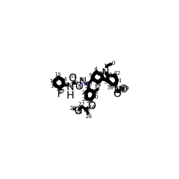 CCn1c2ccc(/C(=N/OC(=O)Nc3ccccc3F)c3ccc(OC(C)COC)cc3C)cc2c2cc([N+](=O)[O-])ccc21